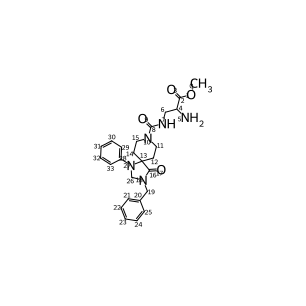 COC(=O)C(N)CNC(=O)N1CCC2(CC1)C(=O)N(Cc1ccccc1)CN2c1ccccc1